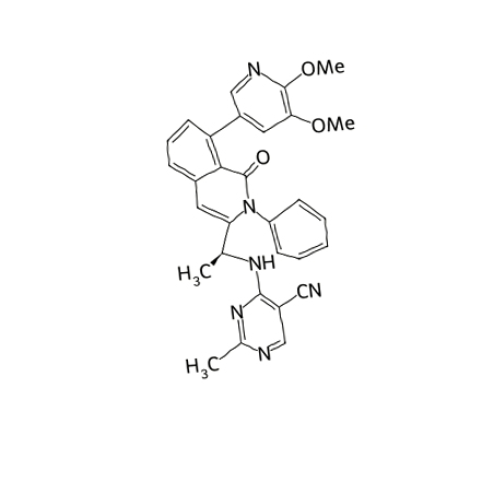 COc1cc(-c2cccc3cc([C@H](C)Nc4nc(C)ncc4C#N)n(-c4ccccc4)c(=O)c23)cnc1OC